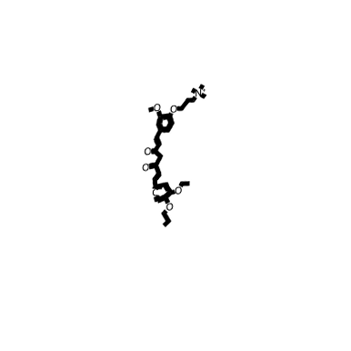 CCCOc1ccc(/C=C/C(=O)CC(=O)/C=C/c2ccc(OCCC[N+](C)(C)C)c(OC)c2)cc1OCC